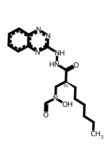 CCCCCC[C@@H](CN(O)C=O)C(=O)NNc1nnc2ccccc2n1